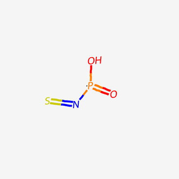 O=[P](O)N=S